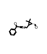 CC1(C)C(C[N+]#CC(=O)c2ccccc2)[C@H]1C=O